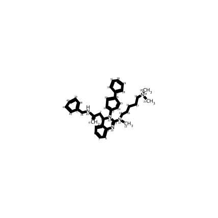 C=C(CC1c2ccccc2N=C(N(C)CCCCCN(C)C)N1c1ccc(-c2ccccc2)cc1)NCc1ccccc1